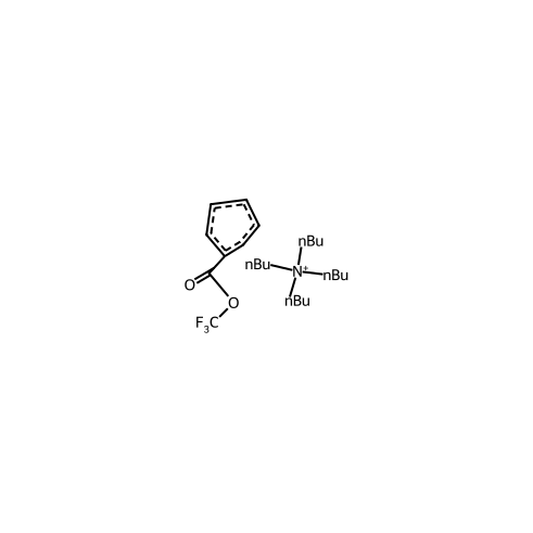 CCCC[N+](CCCC)(CCCC)CCCC.O=C(OC(F)(F)F)c1ccccc1